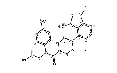 COc1ccc(C(CNC(C)C)C(=O)N2CCN(c3ncnc4c3C(C)CC4O)CC2)cc1